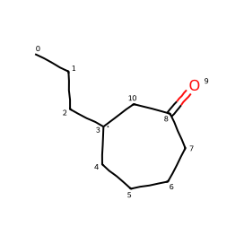 CCC[C]1CCCCC(=O)C1